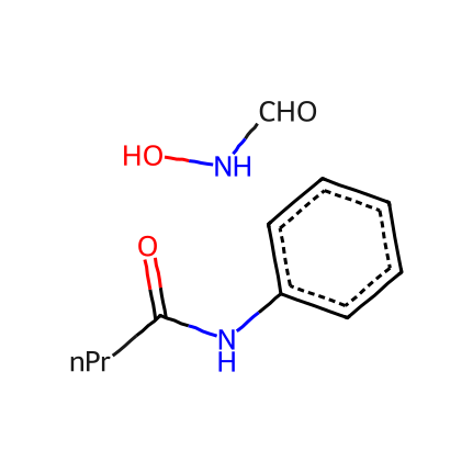 CCCC(=O)Nc1ccccc1.O=CNO